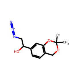 CCC1(C)OCc2ccc(C(O)CN=[N+]=[N-])cc2O1